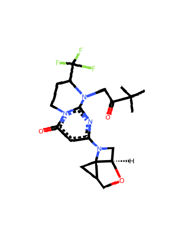 CC(C)(C)C(=O)CN1c2nc(N3C[C@H]4OCC5CC543)cc(=O)n2CCC1C(F)(F)F